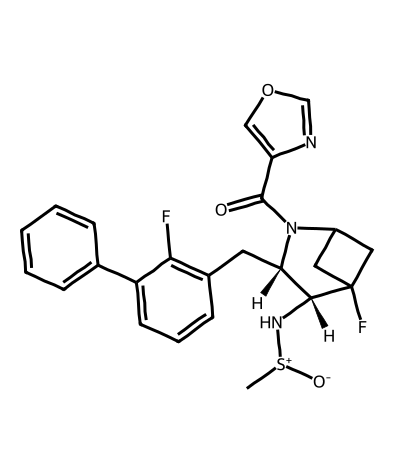 C[S+]([O-])N[C@@H]1[C@H](Cc2cccc(-c3ccccc3)c2F)N(C(=O)c2cocn2)C2CC1(F)C2